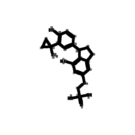 Cc1cc(OCP(=O)(O)O)cc2c1C(c1ccc(O)c(C3(C)CC3)c1)CC2